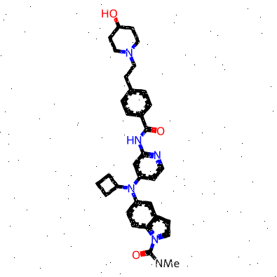 CNC(=O)n1ccc2cc(N(c3ccnc(NC(=O)c4ccc(CCN5CCC(O)CC5)cc4)c3)C3CCC3)ccc21